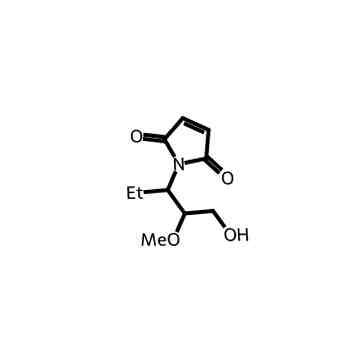 CCC(C(CO)OC)N1C(=O)C=CC1=O